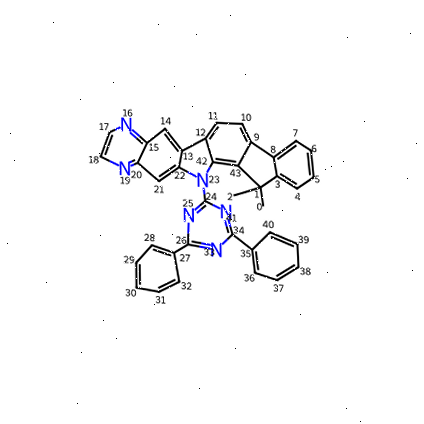 CC1(C)c2ccccc2-c2ccc3c4cc5nccnc5cc4n(-c4nc(-c5ccccc5)nc(-c5ccccc5)n4)c3c21